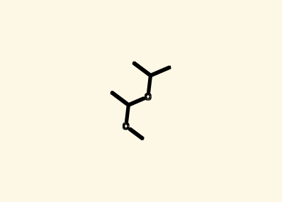 COC(C)OC(C)C